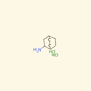 Cl.Cl.NC1CC2CCC1CC2